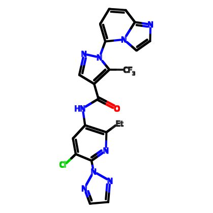 CCc1nc(-n2nccn2)c(Cl)cc1NC(=O)c1cnn(-c2cccc3nccn23)c1C(F)(F)F